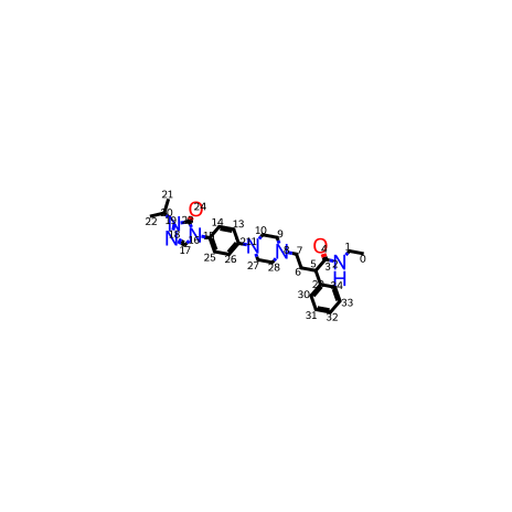 CCNC(=O)C(CCN1CCN(c2ccc(-n3cnn(C(C)C)c3=O)cc2)CC1)c1ccccc1